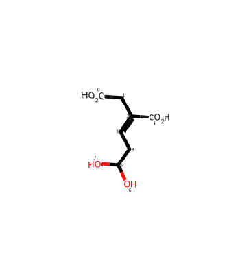 O=C(O)CC(=CCC(O)O)C(=O)O